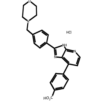 Cl.O=C(O)c1ccc(-c2ccnc3[nH]c(-c4ccc(CN5CCOCC5)cc4)nc23)cc1